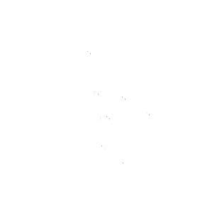 O/N=C(\Nc1ccc(F)c(Cl)c1)c1ccnc2nc(NCCN3CC(F)C3)[nH]c12